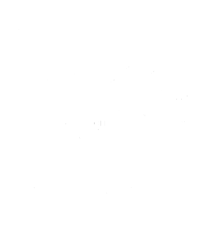 CC(C)(C)[Si](O)(c1ccccc1)c1ccccc1.CCCCC#Cc1ccc(OC)cc1